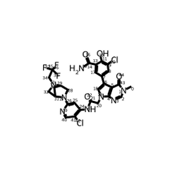 Cn1cnc2c(c(-c3cc(Cl)c(O)c(C(N)=O)c3)cn2CC(=O)Nc2cc(N3CC4CC3CN4CC(F)(F)F)ncc2Cl)c1=O